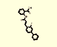 O=C(C=Cc1ccc(-c2ccccc2)cc1Cl)Nc1ccccc1C(=O)O